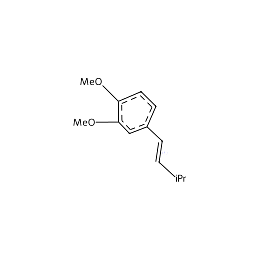 COc1ccc(/C=C/C(C)C)cc1OC